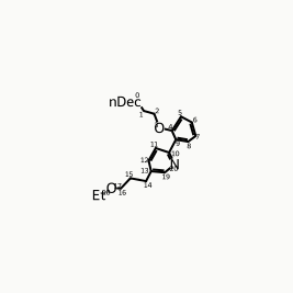 CCCCCCCCCCCCOc1ccccc1-c1ccc(CCCOCC)cn1